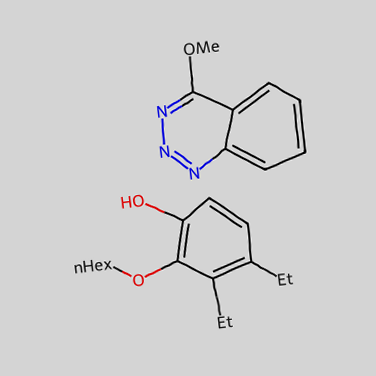 CCCCCCOc1c(O)ccc(CC)c1CC.COc1nnnc2ccccc12